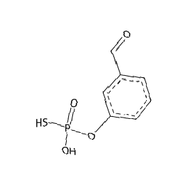 O=Cc1cccc(OP(=O)(O)S)c1